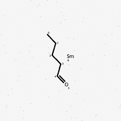 CCCCC=O.[Sm]